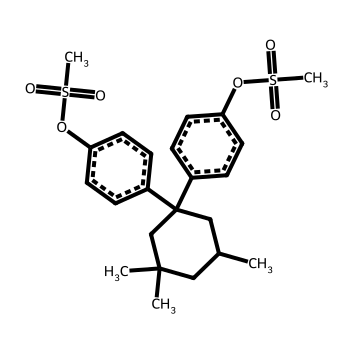 CC1CC(C)(C)CC(c2ccc(OS(C)(=O)=O)cc2)(c2ccc(OS(C)(=O)=O)cc2)C1